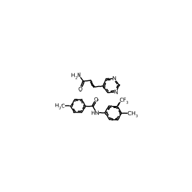 Cc1ccc(C(=O)Nc2ccc(C)c(C(F)(F)F)c2)cc1.NC(=O)C=Cc1cncnc1